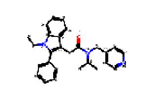 CCn1c(-c2ccccc2)c(CC(=O)N(Cc2ccncc2)C(C)C)c2ccccc21